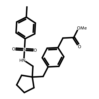 COC(=O)Cc1ccc(CC2(CNS(=O)(=O)c3ccc(C)cc3)CCCC2)cc1